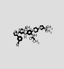 C=CC(=O)Nc1cc(Nc2cc(N3OCCC3c3cccc(C#N)c3)ncn2)c(OC)cc1N1CCC(N2CCC(N(C)C)C2)CC1